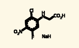 O=C(O)CNc1cc(F)c([N+](=O)[O-])cc1Cl.[NaH]